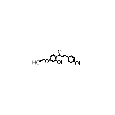 C#CCOc1ccc(C(=O)/C=C/c2ccc(O)cc2)c(O)c1